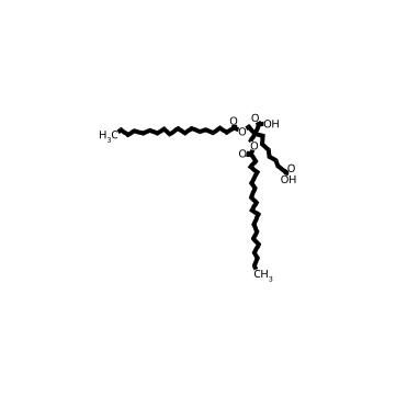 CCCCCCCCCCCCCCCCCC(=O)OCC(CCCCCCC(=O)O)(COC(=O)CCCCCCCCCCCCCCCCC)C(=O)O